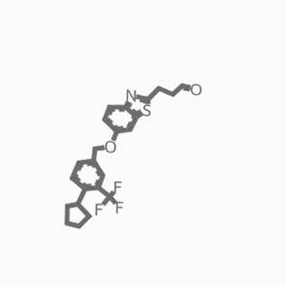 O=CCCc1nc2ccc(OCc3ccc(C4CCCC4)c(C(F)(F)F)c3)cc2s1